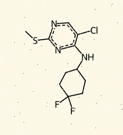 CSc1ncc(Cl)c(NC2CCC(F)(F)CC2)n1